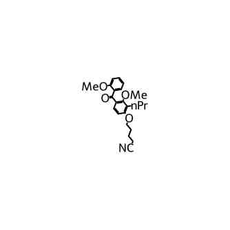 CCCc1c(OCCCCC#N)ccc(C(=O)c2ccccc2OC)c1OC